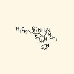 COCC[S+]([O-])c1sc2nc(-c3nccs3)nc(-c3cncn3C)c2c1N